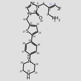 NC/C(=C\F)Cn1ncn(Cc2ccc(-c3ccc(N4CCNCC4)cc3)s2)c1=O